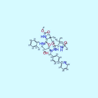 COC(=O)N[C@H](C(=O)N[C@@H](Cc1ccccc1)[C@@H](O)CN(Cc1ccc(-c2ccccn2)cc1)NC(=O)[C@@H](NC(C)=O)C(C)(C)C)C(C)(C)C